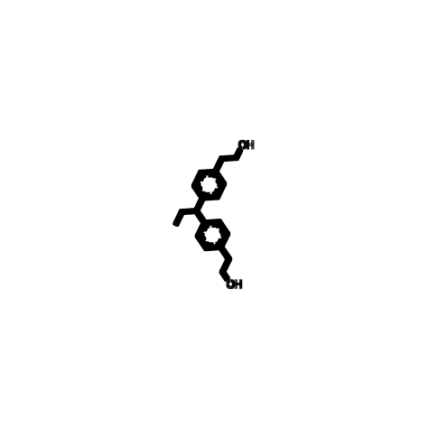 CCC(c1ccc(CCO)cc1)c1ccc(CCO)cc1